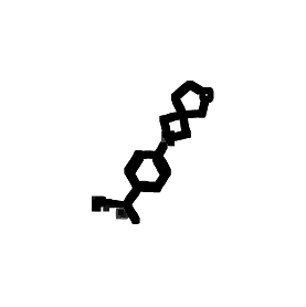 CC(C)[C@H](C)c1ccc(N2CC3(CCOC3)C2)cc1